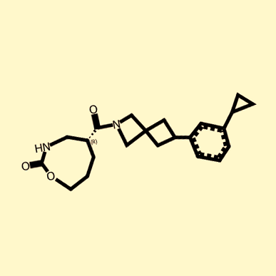 O=C1NC[C@H](C(=O)N2CC3(CC(c4cccc(C5CC5)c4)C3)C2)CCCO1